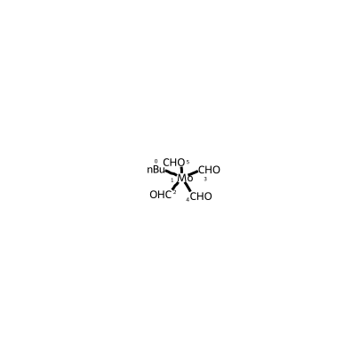 CCC[CH2][Mo]([CH]=O)([CH]=O)([CH]=O)[CH]=O